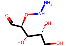 NNO[C@H](C=O)[C@@H](O)[C@H](O)CO